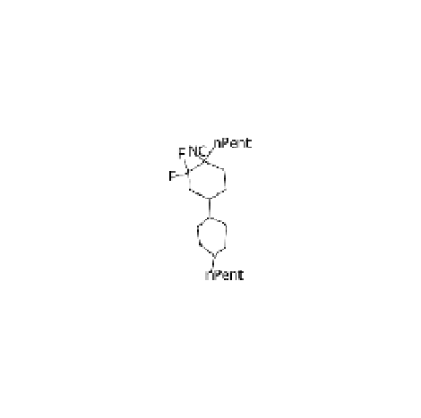 CCCCCC1CCC(C2CCC(C#N)(CCCCC)C(F)(F)C2)CC1